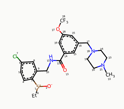 CC[S+]([O-])c1ccc(Cl)cc1CNC(=O)c1cc(CN2CCN(C)CC2)cc(OC(F)(F)F)c1